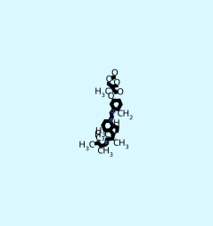 C=C1CC[C@H](OC(=O)C2(C)COC(=O)OC2)C/C1=C/C=C1\CCC[C@]2(C)[C@@H]([C@H](C)/C=C/[C@H](C)C(C)C)CC[C@@H]12